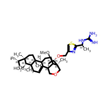 CO[C@@H]1C[C@@]23COC[C@@](C)(C2CC[C@H]2C3=CC[C@@]3(C)[C@H](C(=O)O)[C@@](C)([C@H](C)C(C)C)CC[C@]23C)[C@H]1OCc1csc([C@H](C)NC(=N)N)n1